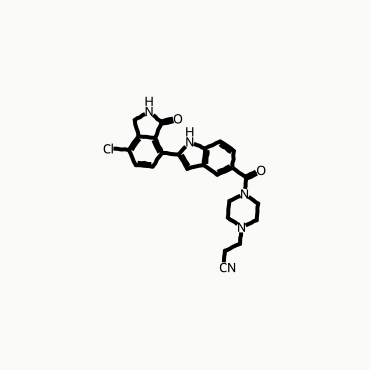 N#CCCN1CCN(C(=O)c2ccc3[nH]c(-c4ccc(Cl)c5c4C(=O)NC5)cc3c2)CC1